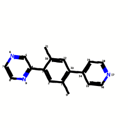 Cc1cc(-c2cnccn2)c(C)cc1-c1ccncc1